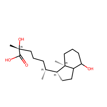 C[C@H](CCC[C@@](C)(O)C(=O)O)[C@H]1CCC2C(O)CCC[C@@]21C